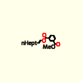 CCCCCCCC=COC(=O)c1cccc(C(=O)OC)c1